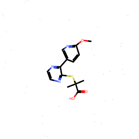 COc1ccc(-c2nccnc2SC(C)(C)C(=O)O)cn1